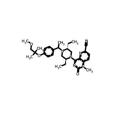 CC[C@H]1CN(C(C)c2ccc(OC(C)(C)COC)cc2)[C@H](CC)CN1c1nc(=O)n(C)c2ccc(C#N)nc12